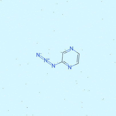 [N-]=[N+]=Nc1[c]nccn1